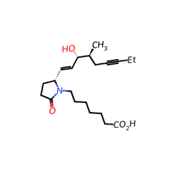 CCC#CC[C@H](C)[C@@H](O)C=C[C@H]1CCC(=O)N1CCCCCCC(=O)O